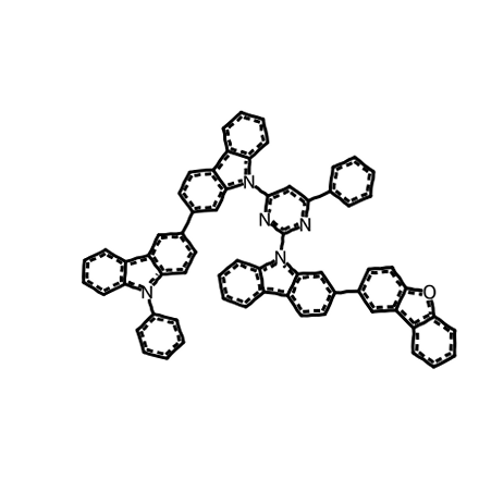 c1ccc(-c2cc(-n3c4ccccc4c4ccc(-c5ccc6c(c5)c5ccccc5n6-c5ccccc5)cc43)nc(-n3c4ccccc4c4ccc(-c5ccc6oc7ccccc7c6c5)cc43)n2)cc1